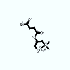 CCC(=O)CCC(=O)OC(CC(=O)O)C[N+](C)(C)C